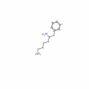 NCCCCC(N)Cc1ccccc1